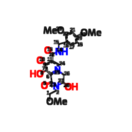 COCCN1C(=O)c2c(O)c(=O)c(C(=O)NCc3ccc(OC)cc3OC)cn2CC1O